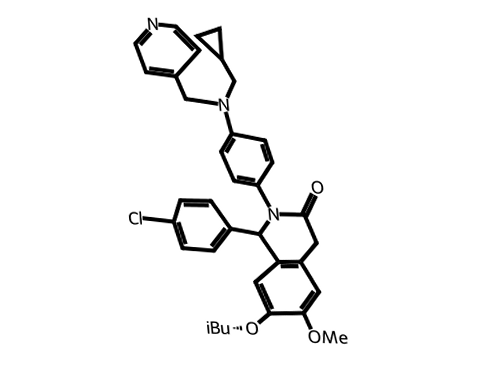 CC[C@@H](C)Oc1cc2c(cc1OC)CC(=O)N(c1ccc(N(Cc3ccncc3)CC3CC3)cc1)C2c1ccc(Cl)cc1